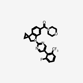 O=C(c1ccc2c(c1)N(c1ncc(-c3c(F)cccc3C(F)(F)F)cn1)CC21CC1)N1CCOCC1